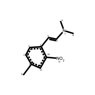 [CH2]c1ccc(C=CN(C)C)c([N+](=O)[O-])c1